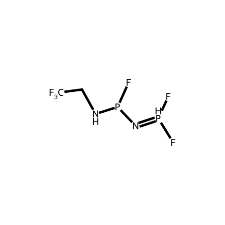 FP(N=[PH](F)F)NCC(F)(F)F